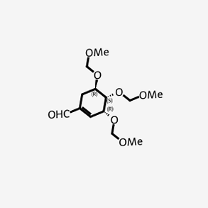 COCO[C@@H]1[C@H](OCOC)C=C(C=O)C[C@H]1OCOC